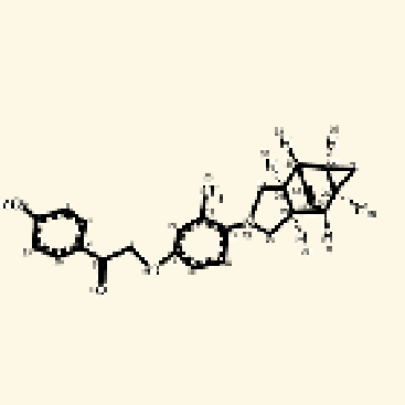 COc1ccc(C(=O)COc2ccc(N3C[C@@H]4[C@@H]5C=C[C@@H]([C@H]6C[C@@H]56)[C@@H]4C3)c(C(F)(F)F)c2)cc1